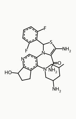 CC1CC(N)CN(c2c(N3C(C(N)=O)=C(N)SC3c3c(F)cccc3F)cnc3c2CCC3O)C1